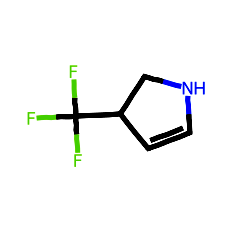 FC(F)(F)C1C=CNC1